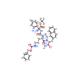 CNC(=O)C(Cc1ccc2ccccc2c1)N1CCN(C(=O)CC(N)(C(=O)OC(C)(C)C)c2ccc(F)cc2)C(CCCNC(=O)OCc2ccccc2)C1=O